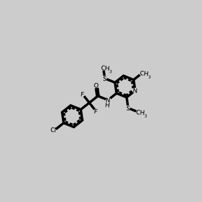 CSc1cc(C)nc(SC)c1NC(=O)C(F)(F)c1ccc(Cl)cc1